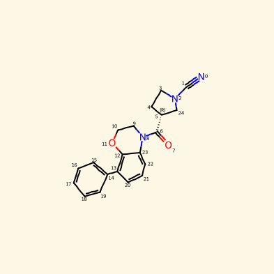 N#CN1CC[C@@H](C(=O)N2CCOc3c(-c4ccccc4)cccc32)C1